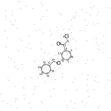 O=C(CCl)c1cccc(OCc2ccccc2)c1